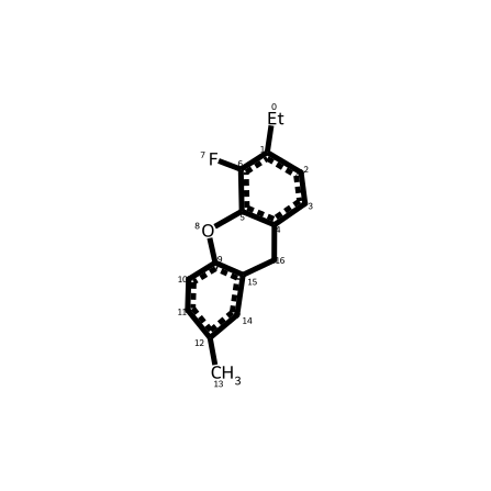 CCc1ccc2c(c1F)Oc1ccc(C)cc1C2